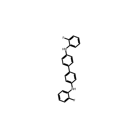 Fc1ccccc1Nc1ccc(-c2ccc(Nc3ccccc3F)cc2)cc1